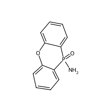 NP1(=O)c2ccccc2Oc2ccccc21